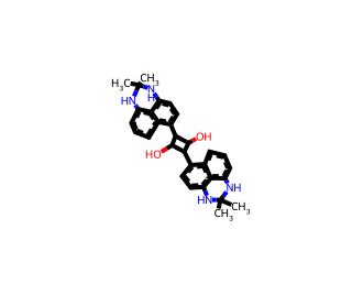 CC1(C)Nc2cccc3c(C4C(O)C(c5ccc6c7c(cccc57)NC(C)(C)N6)C4O)ccc(c23)N1